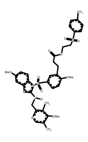 COc1ccc2c(c1)nc([S+]([O-])Cc1ncc(C)c(OC)c1C)n2S(=O)(=O)c1ccc(OC)c(CCC(=O)OCCS(=O)(=O)c2ccc(C)cc2)c1